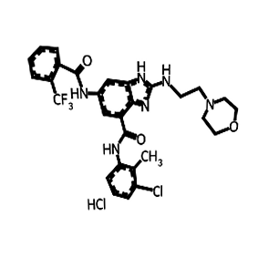 Cc1c(Cl)cccc1NC(=O)c1cc(NC(=O)c2ccccc2C(F)(F)F)cc2[nH]c(NCCN3CCOCC3)nc12.Cl